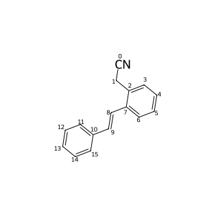 N#CCc1ccccc1/C=C/c1ccccc1